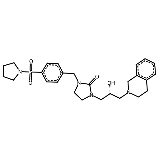 O=C1N(Cc2ccc(S(=O)(=O)N3CCCC3)cc2)CCN1C[C@H](O)CN1CCc2ccccc2C1